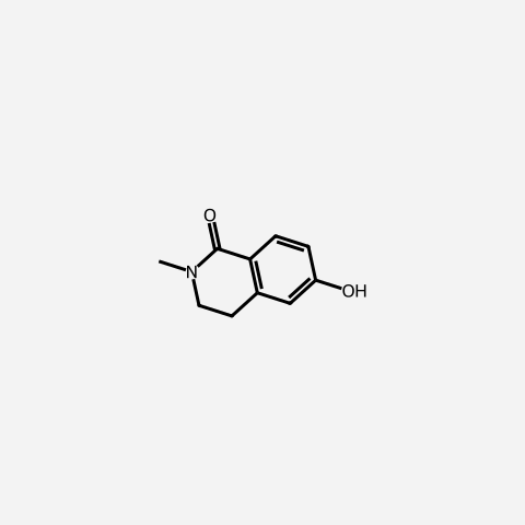 CN1CCc2cc(O)ccc2C1=O